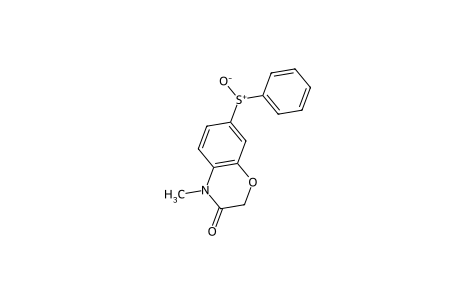 CN1C(=O)COc2cc([S+]([O-])c3ccccc3)ccc21